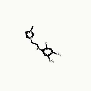 Cn1cc[n+](CCNc2cc([N+](=O)[O-])c(N)cc2Cl)c1